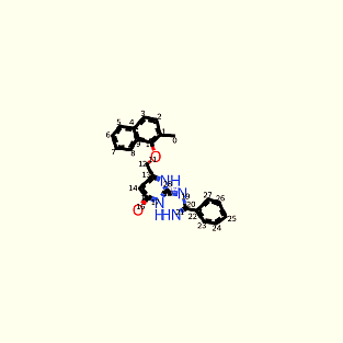 Cc1ccc2ccccc2c1OCc1cc(=O)[nH]/c(=N\C(=N)c2ccccc2)[nH]1